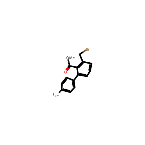 COC(=O)c1c(CBr)cccc1-c1ccc(C(F)(F)F)cc1